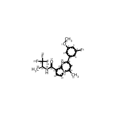 COc1cc(F)cc(-c2cc(C)n3ccc(C(=O)N[C@@H](C)C(F)(F)F)c3n2)c1